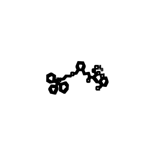 COC(=O)C(=Cc1c(Cl)cccc1Cl)C(=O)CCc1ccccc1COCCCNC(c1ccccc1)(c1ccccc1)c1ccccc1